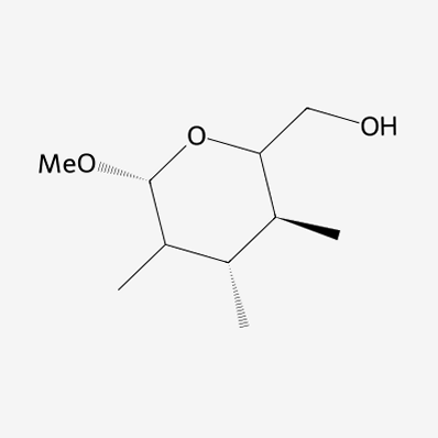 CO[C@@H]1OC(CO)[C@@H](C)[C@H](C)C1C